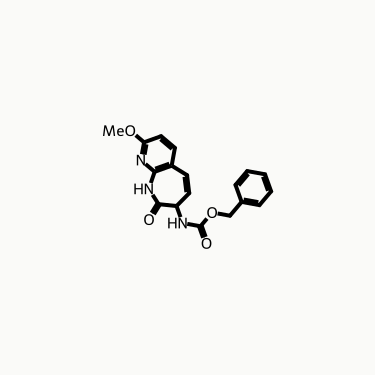 COc1ccc2c(n1)NC(=O)C(NC(=O)OCc1ccccc1)C=C2